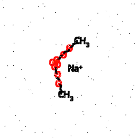 CCCCOCCOCCOP(=O)([O-])OCCOCCOCCCC.[Na+]